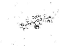 Cl.O=C(O)c1c(OCC(Cl)C2CCCN2)cncc1OCC(Cl)C1CCCN1